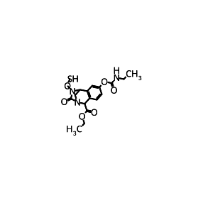 CCNC(=O)Oc1ccc2c(c1)C1CN(C(=O)N1OS)C2C(=O)OCC